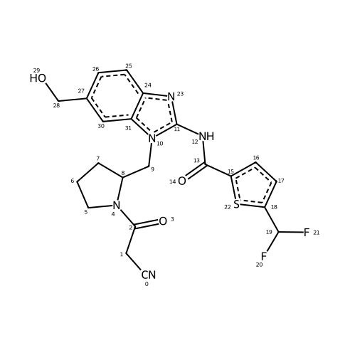 N#CCC(=O)N1CCCC1Cn1c(NC(=O)c2ccc(C(F)F)s2)nc2ccc(CO)cc21